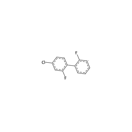 Fc1[c]cccc1-c1ccc(Cl)cc1F